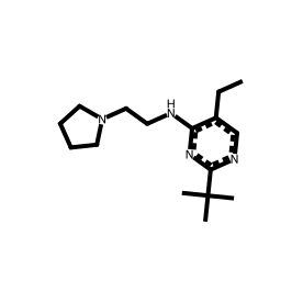 CCc1cnc(C(C)(C)C)nc1NCCN1CCCC1